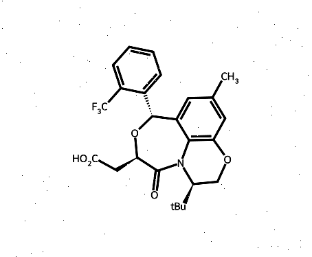 Cc1cc2c3c(c1)[C@@H](c1ccccc1C(F)(F)F)O[C@H](CC(=O)O)C(=O)N3[C@H](C(C)(C)C)CO2